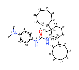 CN(C)c1ccc(NC(=O)N[C@H]2[C@@H](C3CCCCCCC3)CCCC2(C)C2CCCCCCC2)cc1